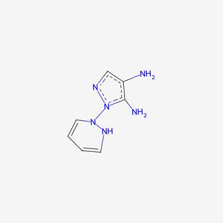 Nc1cnn(N2C=CC=CN2)c1N